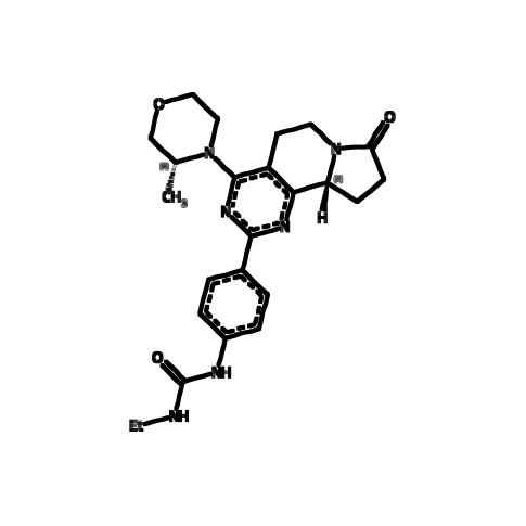 CCNC(=O)Nc1ccc(-c2nc3c(c(N4CCOC[C@H]4C)n2)CCN2C(=O)CC[C@H]32)cc1